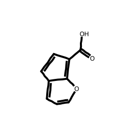 O=C(O)c1ccc2cccoc1-2